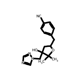 CC1(C)OC(Cc2ccc(C#N)cc2)CC1(O)Cn1cncn1